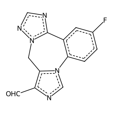 O=Cc1ncn2c1Cn1ncnc1-c1cc(F)ccc1-2